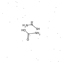 NC(=O)O.NNS